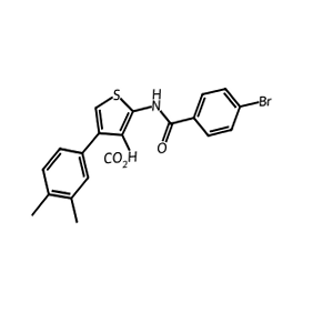 Cc1ccc(-c2csc(NC(=O)c3ccc(Br)cc3)c2C(=O)O)cc1C